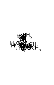 CCC[C@H](C)OC(=O)[C@H](C)N[P@](=O)(OC[C@@]1(COC(=O)C(N)C(C)CC)C/C1=C/n1cnc2c(=O)[nH]c(N)nc21)Oc1ccccc1